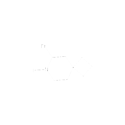 CCC1CC2(CCC2)CCN1I